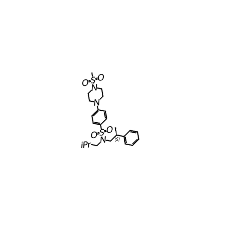 CC(C)CN(C[C@@H](C)c1ccccc1)S(=O)(=O)c1ccc(N2CCN(S(C)(=O)=O)CC2)cc1